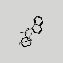 C[C@@H](Oc1cccc2ccccc12)[C@@H]1CN2CCN1CC2